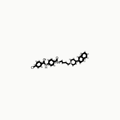 O=C(NCCCCN1CCC(c2ccc3ccccc3c2)CC1)c1ccc(NC(=O)c2ccc(Cl)cc2)cc1